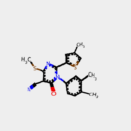 CSc1nc(-c2cc(C)cs2)n(-c2ccc(C)c(C)c2)c(=O)c1C#N